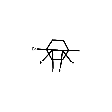 CC12CCC(Br)(CC1)C(F)(F)C2(F)F